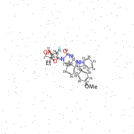 CC[C@@]1(CO)O[C@@H](n2ccc(NC(c3ccccc3)(c3ccccc3)c3ccc(OC)cc3)nc2=O)[C@H](F)[C@@H]1C